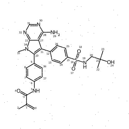 C=C(C)C(=O)Nc1ccc(-c2c(-c3ccc(S(=O)(=O)NCC(C)(C)O)cc3)c3c(N)ncnc3n2C)cc1